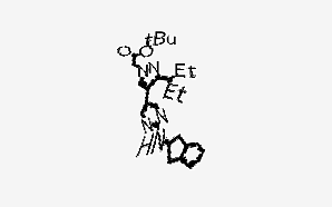 CCC(CC)c1nn(CC(=O)OC(C)(C)C)cc1-c1cnc(NC2Cc3ccccc3C2)nc1